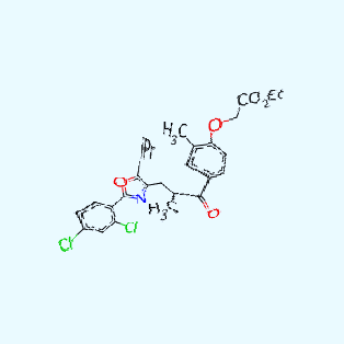 CCOC(=O)COc1ccc(C(=O)C(C)Cc2nc(-c3ccc(Cl)cc3Cl)oc2C(C)C)cc1C